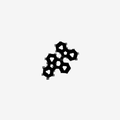 c1ccc2c(c1)B(n1c3ccccc3c3ccccc31)c1cccc3c4ncncc4n-2c13